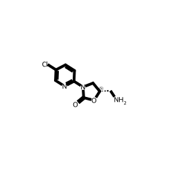 NC[C@H]1CN(c2ccc(Cl)cn2)C(=O)O1